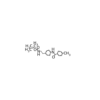 Cc1ccc(C(=O)Nc2ccc(CCNC(=O)OC(C)(C)C)cc2)cc1